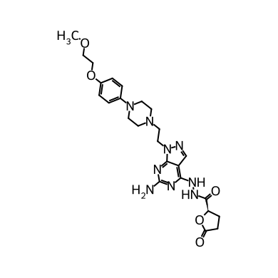 COCCOc1ccc(N2CCN(CCn3ncc4c(NNC(=O)[C@H]5CCC(=O)O5)nc(N)nc43)CC2)cc1